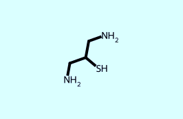 NCC(S)CN